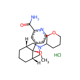 CO[C@]1(c2ccnc(C(N)=O)c2)[C@@H]2CCC[C@H]1CN(C1CCCOC1)C2.Cl